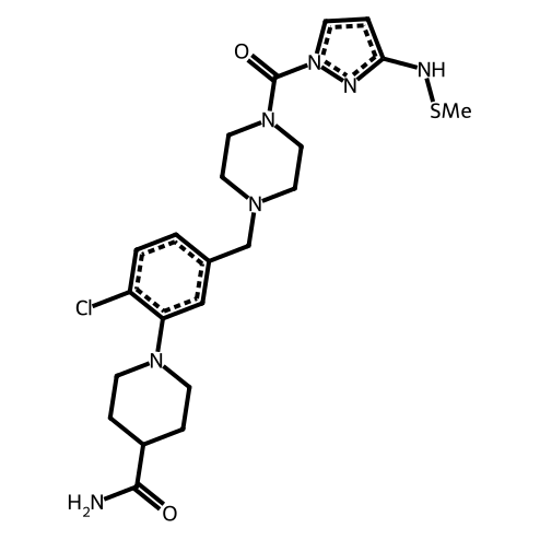 CSNc1ccn(C(=O)N2CCN(Cc3ccc(Cl)c(N4CCC(C(N)=O)CC4)c3)CC2)n1